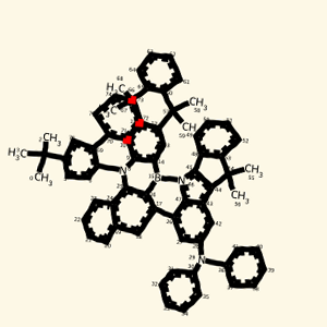 CC(C)(C)c1ccc(N2c3cc4c(cc3B3c5c(cc6ccccc6c52)-c2cc(N(c5ccccc5)c5ccccc5)cc5c6c(n3c25)-c2ccccc2C6(C)C)C(C)(C)c2ccccc2C4(C)C)c(-c2ccccc2)c1